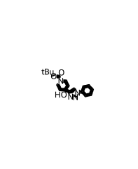 CC(C)(C)OC(=O)N1CCC(O)(c2cn(C3CCCCC3)nn2)CC1